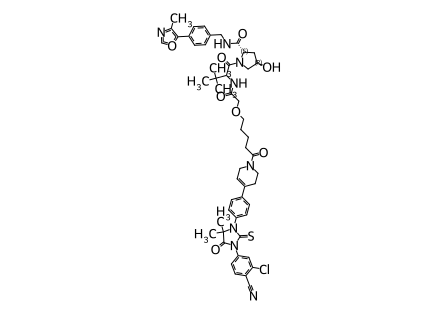 Cc1ncoc1-c1ccc(CNC(=O)[C@@H]2C[C@@H](O)CN2C(=O)C(NC(=O)COCCCCC(=O)N2CC=C(c3ccc(N4C(=S)N(c5ccc(C#N)c(Cl)c5)C(=O)C4(C)C)cc3)CC2)C(C)(C)C)cc1